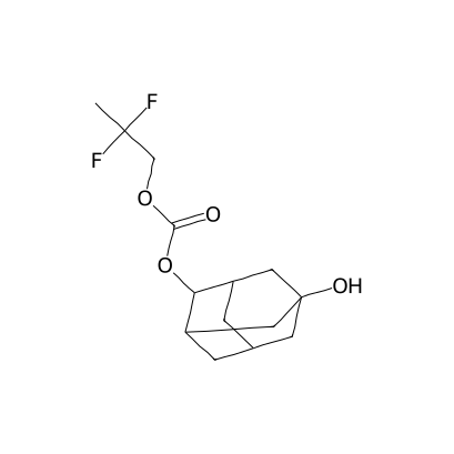 CC(F)(F)COC(=O)OC1C2CC3CC1CC(O)(C3)C2